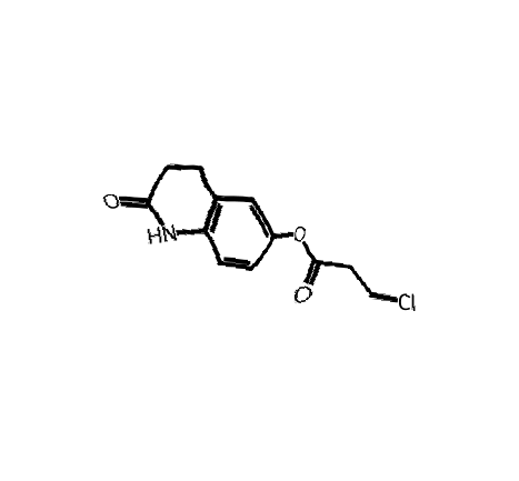 O=C1CCc2cc(OC(=O)CCCl)ccc2N1